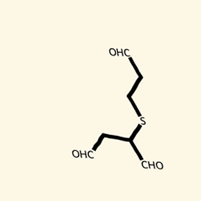 O=CCCSC(C=O)CC=O